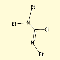 CCN=C(Cl)N(CC)CC